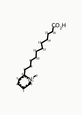 C[n+]1ccccc1CCCCCCCCCCC(=O)O